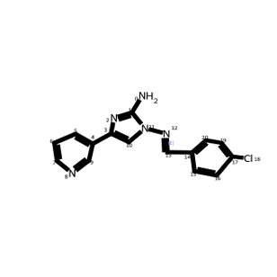 Nc1nc(-c2cccnc2)cn1/N=C/c1ccc(Cl)cc1